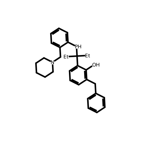 CCC(CC)(Pc1ccccc1CN1CCCCC1)c1cccc(Cc2ccccc2)c1O